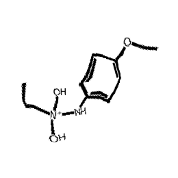 CC[N+](O)(O)Nc1ccc(OC)cc1